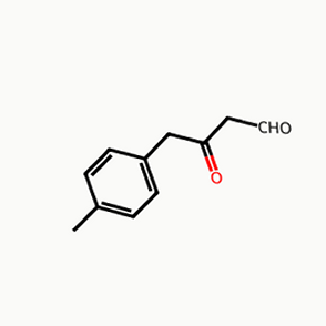 Cc1ccc(CC(=O)CC=O)cc1